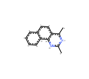 Cc1nc(C)c2ccc3ccccc3c2n1